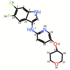 Fc1cc2[nH]cc(Nc3ccc(OC4CCOCC4)cn3)c2cc1F